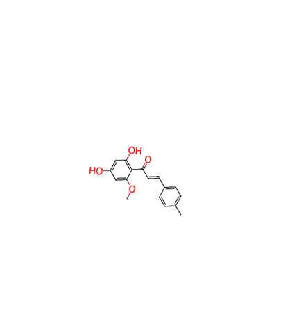 COc1cc(O)cc(O)c1C(=O)/C=C/c1ccc(C)cc1